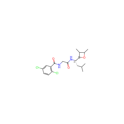 CC(C)C[C@H](NC(=O)CNC(=O)c1cc(Cl)ccc1Cl)B1OC(C)C1C